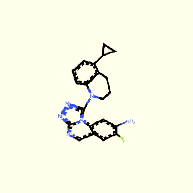 Nc1cc2c(cnc3nnc(N4CCCc5c(C6CC6)cccc54)n32)cc1F